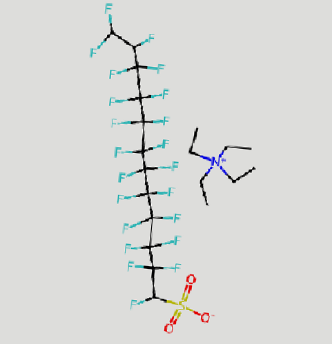 CC[N+](CC)(CC)CC.O=S(=O)([O-])C(F)C(F)(F)C(F)(F)C(F)(F)C(F)(F)C(F)(F)C(F)(F)C(F)(F)C(F)(F)C(F)(F)C(F)C(F)F